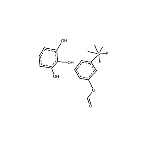 O=COc1cccc(S(F)(F)(F)(F)F)c1.Oc1cccc(O)c1O